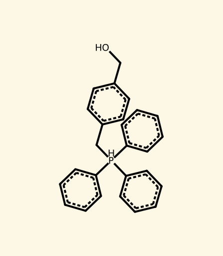 OCc1ccc(C[PH](c2ccccc2)(c2ccccc2)c2ccccc2)cc1